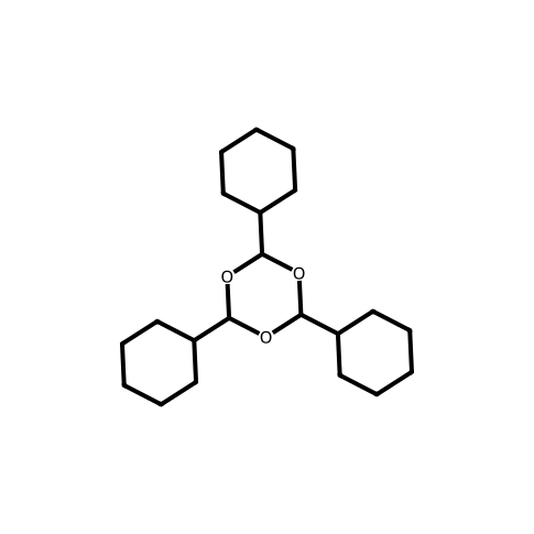 C1CCC(C2OC(C3CCCCC3)OC(C3CCCCC3)O2)CC1